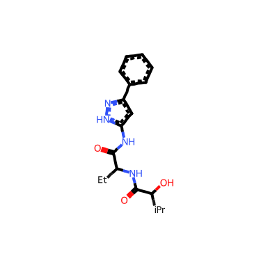 CCC(NC(=O)C(O)C(C)C)C(=O)Nc1cc(-c2ccccc2)n[nH]1